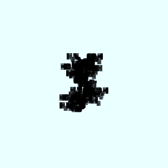 CC(C)CC(NC(=O)[C@H](CCCCN)NC(=O)C(CC(N)=O)NC(=O)[C@H](CO)NC(=O)C(CO)NC(=O)[C@H](CC(=O)O)NC(=O)C(CC(=O)O)NC(=O)[C@H](CCCCN)NC(=O)C(Cc1ccc(O)cc1)NC(=O)[C@H](CC(=O)O)NN)C(=O)N[C@@H](CCC(=O)O)C(=O)NC(CCCCN)C(=O)N[C@@H](CCCCN)C(=O)NC(Cc1ccc(O)cc1)C(=O)N[C@@H](CCCNC(=N)N)C(=O)NC(CO)C(=O)O